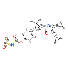 CC1(C)[C@H](c2ccc(OC(=O)N=S(=O)=O)cc2)[C@H]1c1nc(C2CC2)c(C2CC2)o1